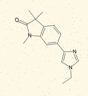 CCn1cnc(-c2ccc3c(c2)N(C)C(=O)C3(C)C)c1